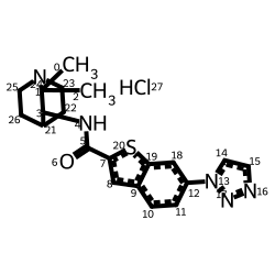 CC1(C)C(NC(=O)c2cc3ccc(-n4ccnn4)cc3s2)C2CCN1CC2.Cl